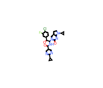 O=C(NC(C(=O)c1ccc(Cl)c(F)c1)n1cc2ccn(C3CC3)c2nc1=O)c1cnc(C2CC2)nc1